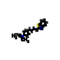 CN([11CH3])c1ccc(/C=C/C=C/c2nc3ccccc3s2)cc1